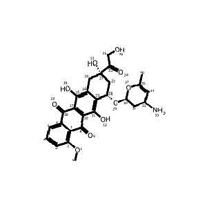 COc1cccc2c1C(=O)c1c(O)c3c(c(O)c1C2=O)C[C@@](O)(C(=O)CO)C[C@@H]3O[C@@H]1CC(N)C=C(C)O1